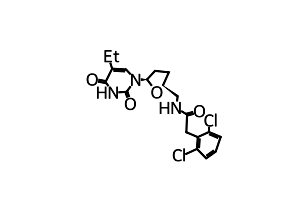 CCc1cn([C@H]2CC[C@@H](CNC(=O)Cc3c(Cl)cccc3Cl)O2)c(=O)[nH]c1=O